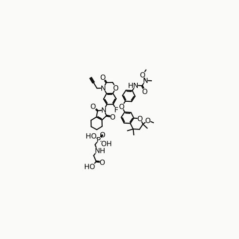 C#CCN1C(=O)COc2cc(F)c(N3C(=O)C4=C(CCCC4)C3=O)cc21.CON(C)C(=O)Nc1ccc(Oc2ccc3c(c2)OC(C)(OC)CC3(C)C)cc1.O=C(O)CNCP(=O)(O)O